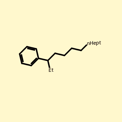 CCCCCCCCCCCC(CC)c1ccccc1